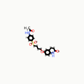 CC(=O)Nc1ccc(S(=O)(=O)CCCCOc2ccc3c(c2)CCC(=O)N3)cc1